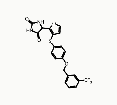 O=C1NC(=O)C(c2occc2Sc2ccc(OCc3cccc(C(F)(F)F)c3)cc2)N1